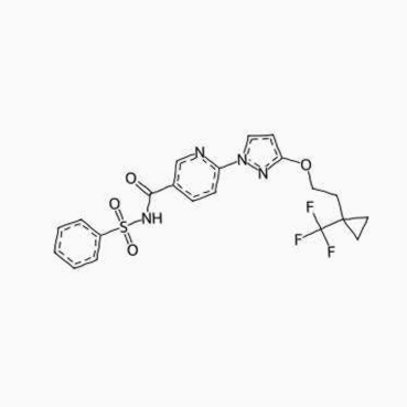 O=C(NS(=O)(=O)c1ccccc1)c1ccc(-n2ccc(OCCC3(C(F)(F)F)CC3)n2)nc1